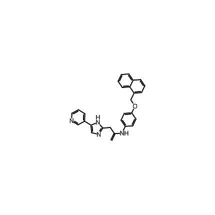 C=C(Cc1ncc(-c2cccnc2)[nH]1)Nc1ccc(OCc2cccc3ccccc23)cc1